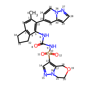 Cc1cc2c(c(NC(=O)NS(=O)(=O)c3cnn4c3COCC4)c1-c1ccn3nccc3c1)CCC2